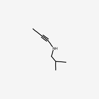 CC#CNCC(C)C